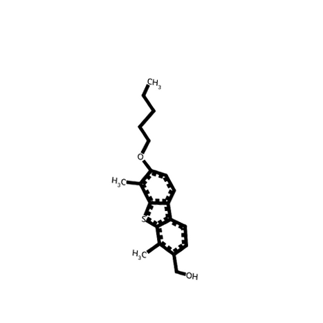 CCCCCOc1ccc2c(sc3c(C)c(CO)ccc32)c1C